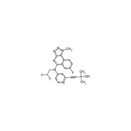 Cn1nnc2nc(N(CC(F)F)c3ccnc(C#CC(C)(C)O)c3)c3cc(F)ccc3c21